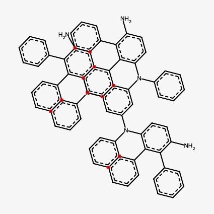 Nc1ccc(N(c2ccccc2)c2cc(N(c3ccccc3)c3ccc(N)c(-c4ccccc4)c3-c3ccccc3)cc(N(c3ccccc3)c3ccc(N)c(-c4ccccc4)c3-c3ccccc3)c2)c(-c2ccccc2)c1-c1ccccc1